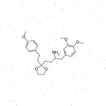 COc1ccc(CCC2(CCC(N)Cc3ccc(OC)c(OC)c3)OCCO2)cc1